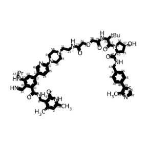 Cc1cc(C)c(CNC(=O)c2cc(-c3ccc(N4CCN(CCNC(=O)COCC(=O)NC(C(=O)N5C[C@H](O)C[C@H]5C(=O)NCc5ccc(-c6scnc6C)cc5)C(C)(C)C)CC4)nc3)cc(NC(C)C)c2C=N)c(=O)[nH]1